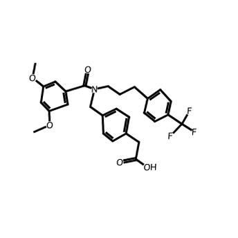 COc1cc(OC)cc(C(=O)N(CCCc2ccc(C(F)(F)F)cc2)Cc2ccc(CC(=O)O)cc2)c1